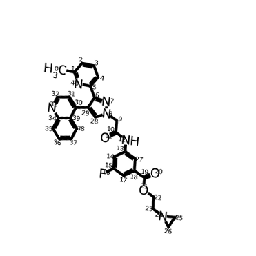 Cc1cccc(-c2nn(CC(=O)Nc3cc(F)cc(C(=O)OCCN4CC4)c3)cc2-c2ccnc3ccccc23)n1